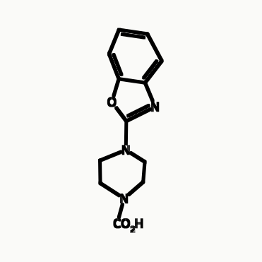 O=C(O)N1CCN(c2nc3ccccc3o2)CC1